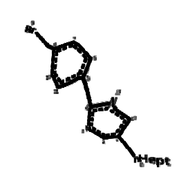 CCCCCCCc1cnc(-c2ccc(Br)cc2)nc1